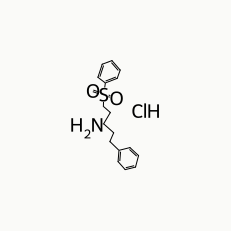 Cl.NC(CCc1ccccc1)CCS(=O)(=O)c1ccccc1